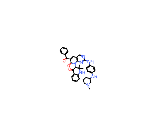 CN1CCCC(Nc2ccc(Nc3ncc4cc(C(=O)c5ccccc5)c(=O)n(C5C(=O)c6ccccc6NC5(C)C)c4n3)cc2)C1